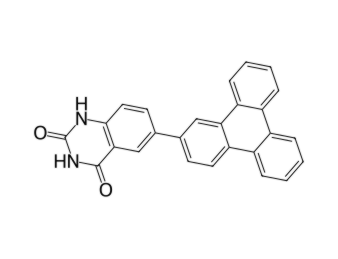 O=c1[nH]c(=O)c2cc(-c3ccc4c5ccccc5c5ccccc5c4c3)ccc2[nH]1